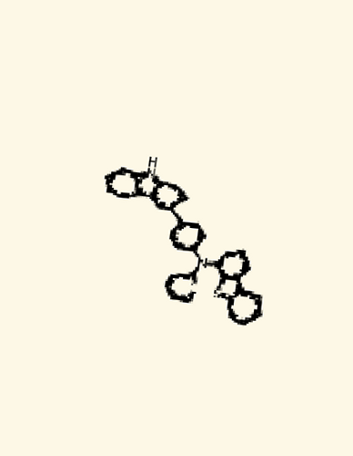 c1ccc(N(c2ccc(-c3ccc4[nH]c5ccccc5c4c3)cc2)c2cccc3c2sc2ccccc23)cc1